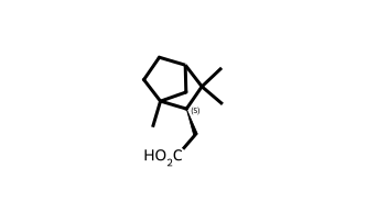 CC12CCC(C1)C(C)(C)[C@H]2CC(=O)O